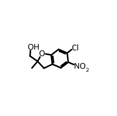 CC1(CO)Cc2cc([N+](=O)[O-])c(Cl)cc2O1